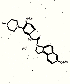 COc1ccc2c3c(ccc2c1)N(C(=O)Nc1ccc(OC)c(N2CCN(C)CC2)c1)CC3.Cl